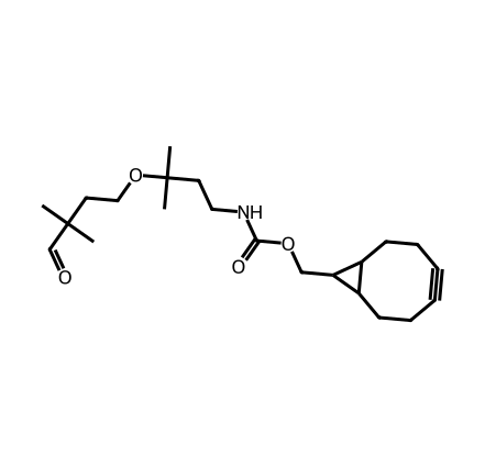 CC(C)(C=O)CCOC(C)(C)CCNC(=O)OCC1C2CCC#CCCC21